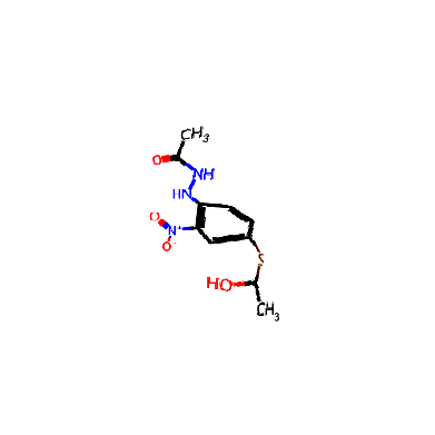 CC(=O)NNc1ccc(SC(C)O)cc1[N+](=O)[O-]